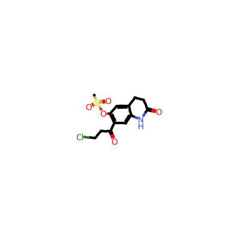 CS(=O)(=O)Oc1cc2c(cc1C(=O)CCCl)NC(=O)CC2